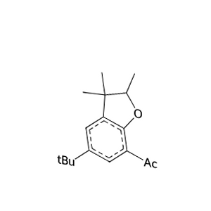 CC(=O)c1cc(C(C)(C)C)cc2c1OC(C)C2(C)C